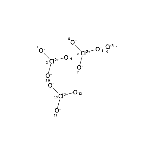 [Cr+3].[O-][Cl+2]([O-])[O-].[O-][Cl+2]([O-])[O-].[O-][Cl+2]([O-])[O-]